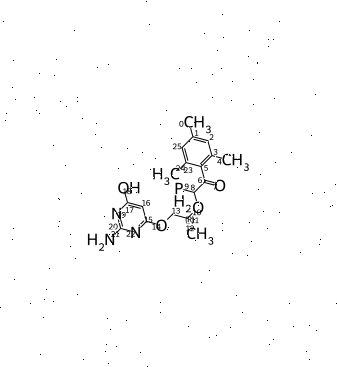 Cc1cc(C)c(C(=O)C(P)O[C@H](C)COc2cc(O)nc(N)n2)c(C)c1